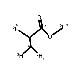 [2H]OC(=O)C([2H])C([2H])[2H]